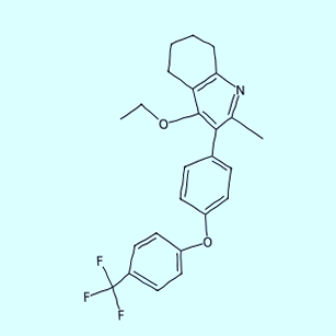 CCOc1c2c(nc(C)c1-c1ccc(Oc3ccc(C(F)(F)F)cc3)cc1)CCCC2